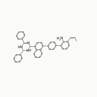 C/C=C\c1cccc(-c2ccc(-c3ccc(C4N=C(c5ccccc5)NC(c5ccccc5)N4)c4ccccc34)cc2)c1N